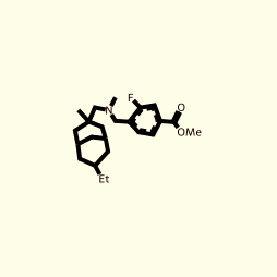 CCC1CC2CC(C1)CC(C)(CN(C)Cc1ccc(C(=O)OC)cc1F)C2